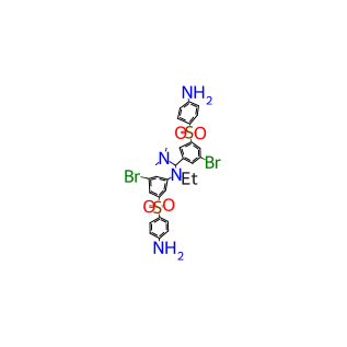 CCN(c1cc(Br)cc(S(=O)(=O)c2ccc(N)cc2)c1)C(c1cc(Br)cc(S(=O)(=O)c2ccc(N)cc2)c1)N(C)C